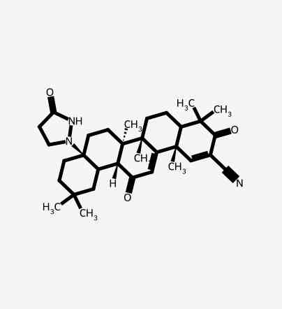 CC1(C)CC[C@]2(N3CCC(=O)N3)CC[C@]3(C)[C@H](C(=O)C=C4[C@@]5(C)C=C(C#N)C(=O)C(C)(C)C5CC[C@]43C)C2C1